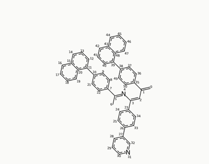 C=C(/C=C(\N=C(/C)c1ccc(-c2cccc3ccccc23)cc1)c1ccc(-c2cccnc2)cc1)c1ccc(-c2cccc3ccccc23)cc1